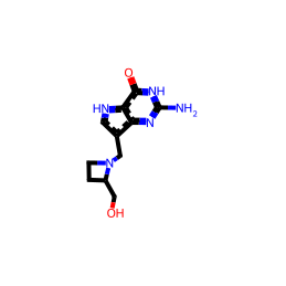 Nc1nc2c(CN3CCC3CO)c[nH]c2c(=O)[nH]1